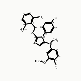 COc1cc(N(C)c2cnc(SCc3c(P)cccc3P)n2-c2ccc(F)cc2)ccc1Cl